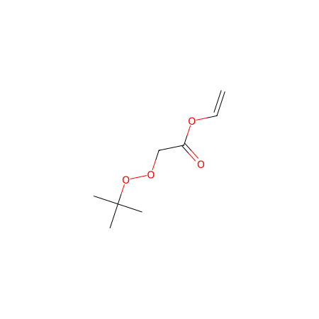 C=COC(=O)COOC(C)(C)C